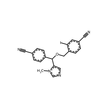 Cn1cncc1C(OCc1ccc(C#N)cc1I)c1ccc(C#N)cc1